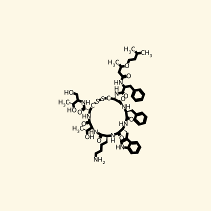 CC(C)CCOC(C)CC(=O)NC(Cc1ccccc1)C(=O)N[C@H]1CSSC[C@@H](C(=O)NC(CO)[C@@H](C)O)NC(=O)[C@H]([C@@H](C)O)NC(=O)[C@H](CCCCN)NC(=O)[C@@H](Cc2c[nH]c3ccccc23)NC(=O)[C@H](Cc2ccccc2)NC1=O